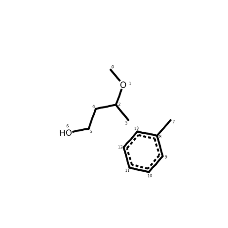 COC(C)CCO.Cc1ccccc1